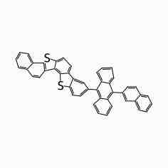 c1ccc2cc(-c3c4ccccc4c(-c4ccc5sc6c(ccc7sc8c9ccccc9ccc8c76)c5c4)c4ccccc34)ccc2c1